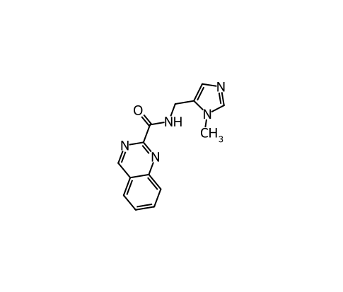 Cn1cncc1CNC(=O)c1ncc2ccccc2n1